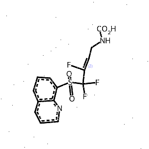 O=C(O)NC/C=C(\F)C(F)(F)S(=O)(=O)c1cccc2cccnc12